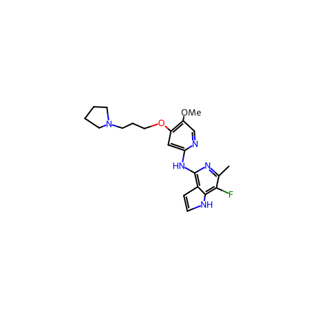 COc1cnc(Nc2nc(C)c(F)c3[nH]ccc23)cc1OCCCN1CCCC1